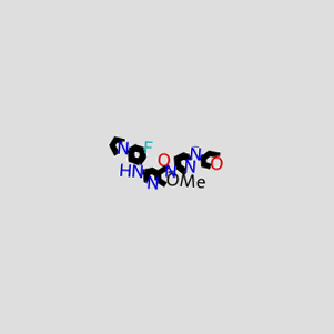 CON(C(=O)c1cc(Nc2cc(F)cc(N3CCCC3)c2)cnc1C)c1ccc(N(C)C2CCOCC2)nc1